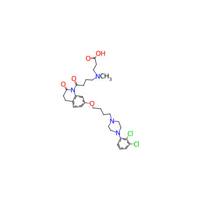 CN(CCCC(=O)N1C(=O)CCc2ccc(OCCCCN3CCN(c4cccc(Cl)c4Cl)CC3)cc21)CCC(=O)O